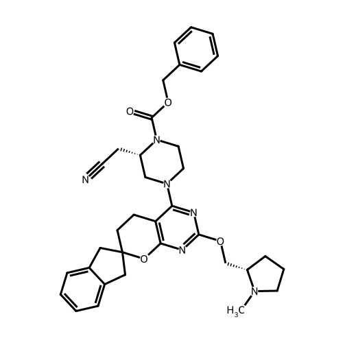 CN1CCC[C@H]1COc1nc2c(c(N3CCN(C(=O)OCc4ccccc4)[C@@H](CC#N)C3)n1)CCC1(Cc3ccccc3C1)O2